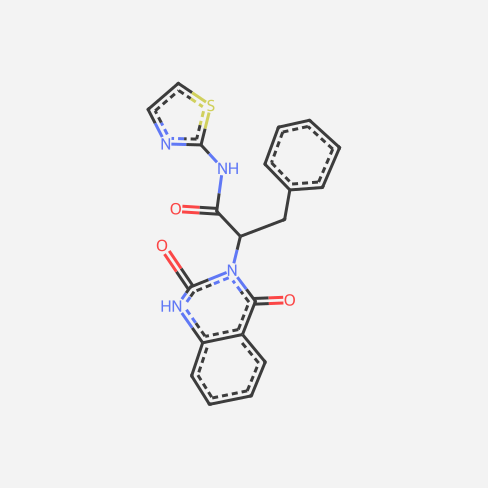 O=C(Nc1nccs1)C(Cc1ccccc1)n1c(=O)[nH]c2ccccc2c1=O